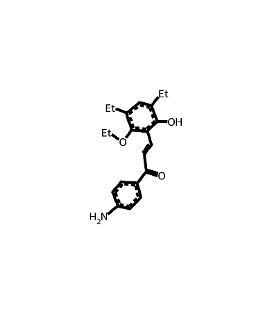 CCOc1c(CC)cc(CC)c(O)c1C=CC(=O)c1ccc(N)cc1